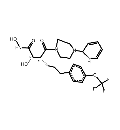 O=C(NO)[C@@H](O)[C@@H](CCCc1ccc(OC(F)(F)F)cc1)C(=O)N1CCN(C2C=CC=CN2)CC1